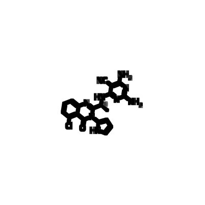 C[C@H](Nc1nc(N)nc(N)c1C#N)c1nc2cccc(Cl)c2c(=O)n1-c1ccc[nH]1